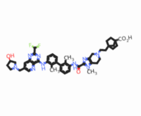 Cc1c(NC(=O)c2nc3c(n2C)CCN(CCC24CCC(C(=O)O)(CC2)C4)C3)cccc1-c1cccc(Nc2nc(C(F)F)nc3cc(CN4CC[C@@H](O)C4)cnc23)c1C